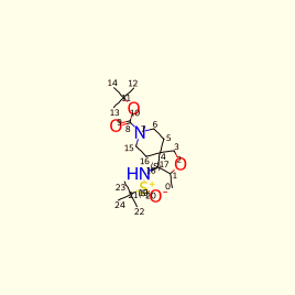 CC1OCC2(CCN(C(=O)OC(C)(C)C)CC2)[C@@H]1N[S@+]([O-])C(C)(C)C